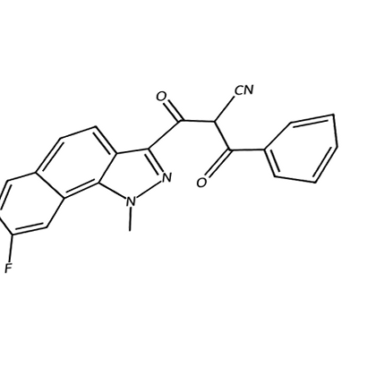 Cn1nc(C(=O)C(C#N)C(=O)c2ccccc2)c2ccc3ccc(F)cc3c21